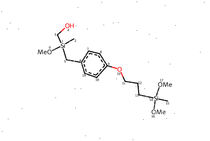 CO[Si](C)(CO)Cc1ccc(OCCC[Si](C)(OC)OC)cc1